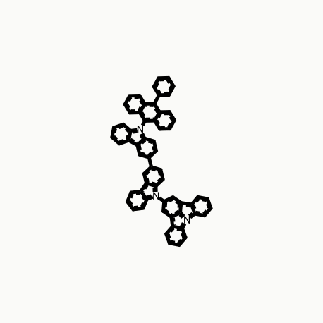 c1ccc(-c2c3ccccc3c(-n3c4ccccc4c4cc(-c5ccc6c(c5)c5ccccc5n6-c5cc6c7ccccc7n7c8ccccc8c(c5)c67)ccc43)c3ccccc23)cc1